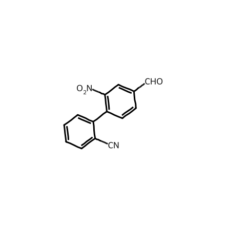 N#Cc1ccccc1-c1ccc(C=O)cc1[N+](=O)[O-]